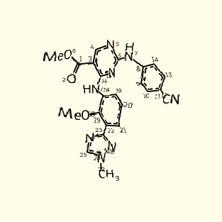 COC(=O)c1cnc(Nc2ccc(C#N)cc2)nc1Nc1cccc(-c2ncn(C)n2)c1OC